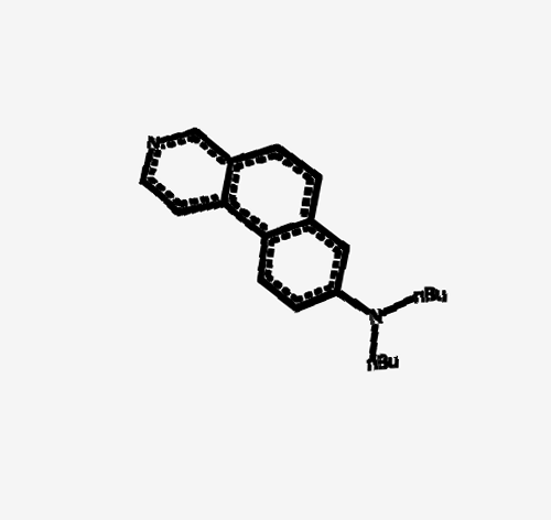 CCCCN(CCCC)c1ccc2c(ccc3cnccc32)c1